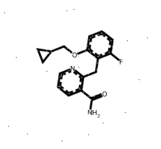 NC(=O)c1cccnc1Cc1c(F)cccc1OCC1CC1